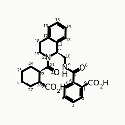 O=C(O)c1ccccc1C(=O)NC[C@@H]1c2ccccc2CCN1C(=O)[C@@H]1CCCCC1C(=O)O